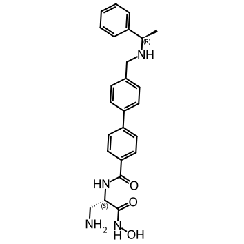 C[C@@H](NCc1ccc(-c2ccc(C(=O)N[C@@H](CN)C(=O)NO)cc2)cc1)c1ccccc1